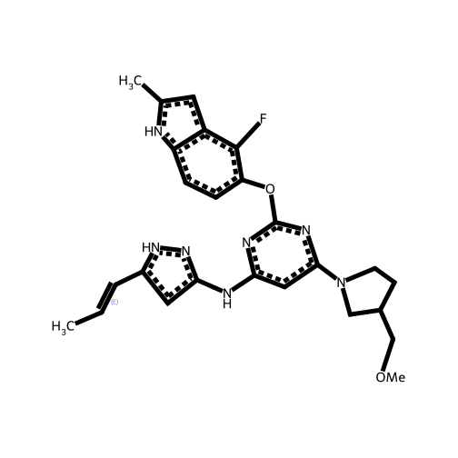 C/C=C/c1cc(Nc2cc(N3CCC(COC)C3)nc(Oc3ccc4[nH]c(C)cc4c3F)n2)n[nH]1